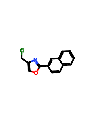 ClCc1coc(-c2ccc3ccccc3c2)n1